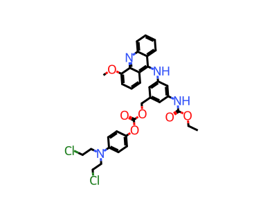 CCOC(=O)Nc1cc(COC(=O)Oc2ccc(N(CCCl)CCCl)cc2)cc(Nc2c3ccccc3nc3c(OC)cccc23)c1